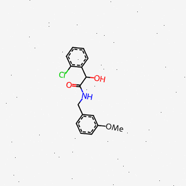 COc1cccc(CNC(=O)C(O)c2ccccc2Cl)c1